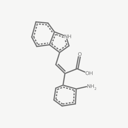 Nc1ccccc1/C(=C/c1c[nH]c2ccccc12)C(=O)O